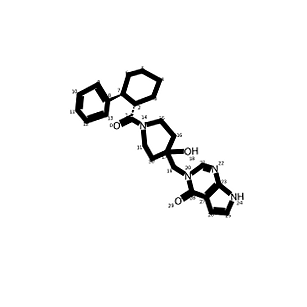 O=C([C@H]1CCCC[C@@H]1c1ccccc1)N1CCC(O)(Cn2cnc3[nH]ccc3c2=O)CC1